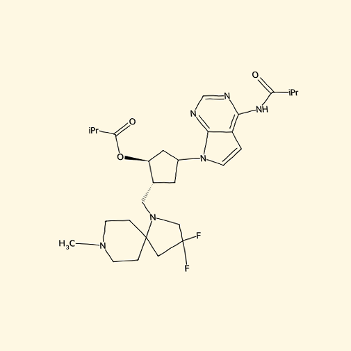 CC(C)C(=O)Nc1ncnc2c1ccn2C1C[C@H](CN2CC(F)(F)CC23CCN(C)CC3)[C@@H](OC(=O)C(C)C)C1